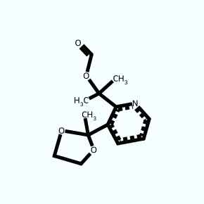 CC(C)(OC=O)c1ncccc1C1(C)OCCO1